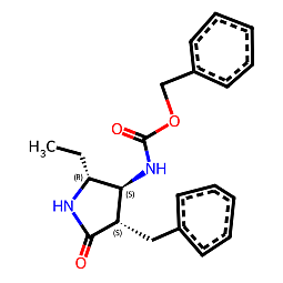 CC[C@H]1NC(=O)[C@@H](Cc2ccccc2)[C@@H]1NC(=O)OCc1ccccc1